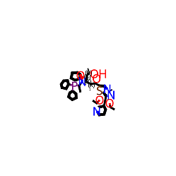 CCOC(OCC)(c1cccnc1)c1ncn2cc(C(=O)[C@H](C)[C@@H]3[C@@H]([C@@H](C)O)C(=O)N3C(C)=P(c3ccccc3)(c3ccccc3)c3ccccc3)sc12